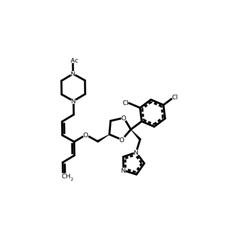 C=C/C=C(\C=C/CN1CCN(C(C)=O)CC1)OC[C@H]1CO[C@](Cn2ccnc2)(c2ccc(Cl)cc2Cl)O1